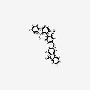 Cn1c2ccccc2c2cc(Cc3ccc4c5c(ccc6c7ccccc7n(C)c65)n(C)c4c3)ccc21